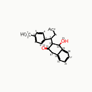 CC(=O)CC(c1ccc(C(=O)O)cc1)C1C(=O)Cc2ccccc2C1O